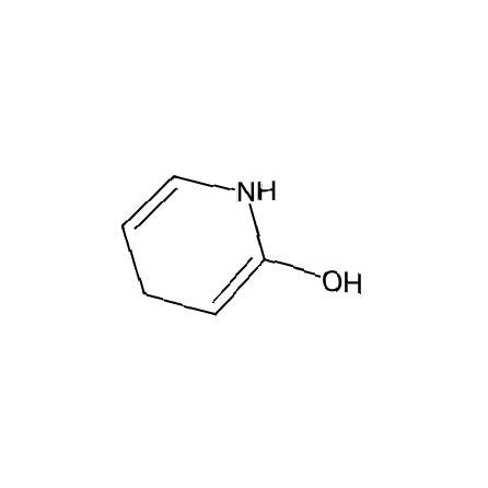 OC1=CCC=CN1